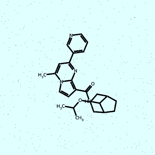 Cc1cc(-c2cccnc2)nc2c(C(=O)NC3C4CCC3CC(OC(C)C)C4)ccn12